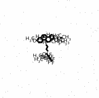 C=C[C@]12CCc3cc(OC)ccc3[C@H]1[C@@H](CCCC[C@@H](O[Si](C)(C)C)C(F)(F)C(F)(F)C(F)(F)F)C[C@]1(C)[C@@H](O[Si](C)(C)C(C)(C)C)CC[C@H]12